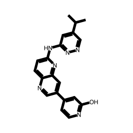 CC(C)c1cnnc(Nc2ccc3ncc(-c4ccnc(O)c4)cc3n2)c1